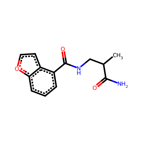 CC(CNC(=O)c1cccc2occc12)C(N)=O